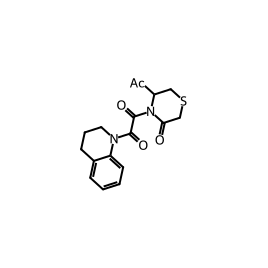 CC(=O)C1CSCC(=O)N1C(=O)C(=O)N1CCCc2ccccc21